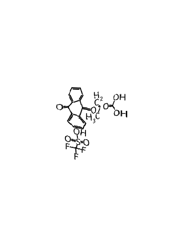 C=CC.O=C(O)O.O=C1c2ccccc2C(=O)c2ccccc21.O=S(=O)(O)C(F)(F)F